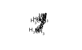 Cc1cc(C[C@@H](OC(=O)N2CCC(N3CCc4ccccc4NC3=O)CC2)C(=O)N2CCC(N3CCN(CC(=O)OCCN(C)C)CC3)CC2)cc(C)c1O